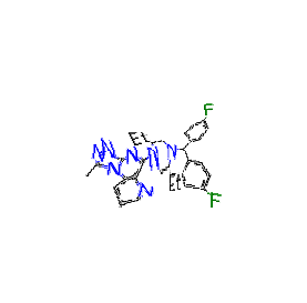 CC[C@H]1CN(C(c2ccc(F)cc2)c2ccc(F)cc2)[C@H](CC)CN1c1nc2nnc(C)n2c2cccnc12